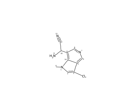 Cn1cc(Cl)c2cncc(C(N)C#N)c21